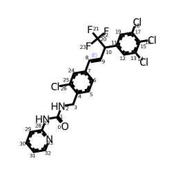 O=C(NCc1ccc(/C=C/C(c2cc(Cl)c(Cl)c(Cl)c2)C(F)(F)F)cc1Cl)Nc1ccccn1